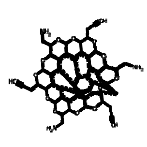 C#CCC1OC2OC3c4c5c6c7c8c9c%10c%11c%12c%13c%14c%15c%16c%17c%18c(c2c4c2c%18c%15c%12c9c62)C1OC%17OC(CN)C%16OC%14OC(CC#C)C%13OC%11OC(CN)C%10OC8OC(CC#C)C7OC5OC3CN